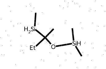 CCC(C)(O[SiH](C)C)[SiH2]C